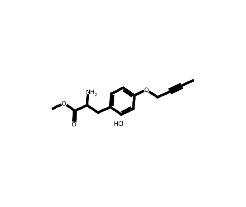 CC#CCOc1ccc(CC(N)C(=O)OC)cc1.Cl